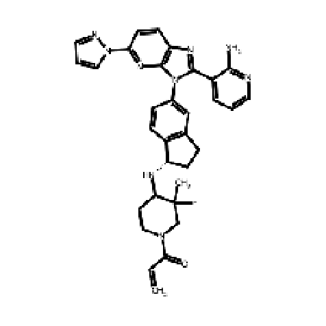 C=CC(=O)N1CCC(N[C@H]2CCc3cc(-n4c(-c5cccnc5N)nc5ccc(-n6cccn6)nc54)ccc32)C(C)(F)C1